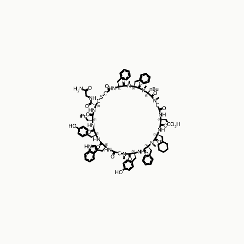 CCCC[C@H]1C(=O)N(C)CC(=O)N[C@@H](CC(=O)O)C(=O)N[C@@H](CC2CCCCC2)C(=O)N(C)[C@@H](Cc2ccccc2)C(=O)N[C@@H](Cc2ccc(O)cc2)C(=O)N(C)CC(=O)N[C@@H](Cc2c[nH]c3ccccc23)C(=O)N[C@@H](Cc2ccc(O)cc2)C(=O)N[C@@H](CC(C)C)C(=O)N[C@H](C(=O)NCC(N)=O)CSCC(=O)N[C@@H](Cc2ccccc2)C(=O)N(C)[C@@H](Cc2ccccc2)C(=O)N1C